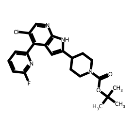 CC(C)(C)OC(=O)N1CCC(c2cc3c(-c4cccc(F)n4)c(Cl)cnc3[nH]2)CC1